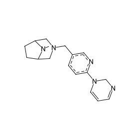 CN1C2CCC1CN(Cc1ccc(N3C=CC=NC3)nc1)C2